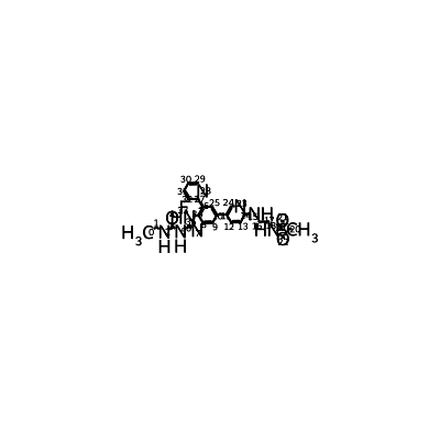 CCNC(=O)Nc1nc2cc(-c3ccc(NCCNS(C)(=O)=O)nc3)cc(-c3ncccc3F)c2[nH]1